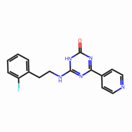 O=c1nc(-c2ccncc2)nc(NCCc2ccccc2F)[nH]1